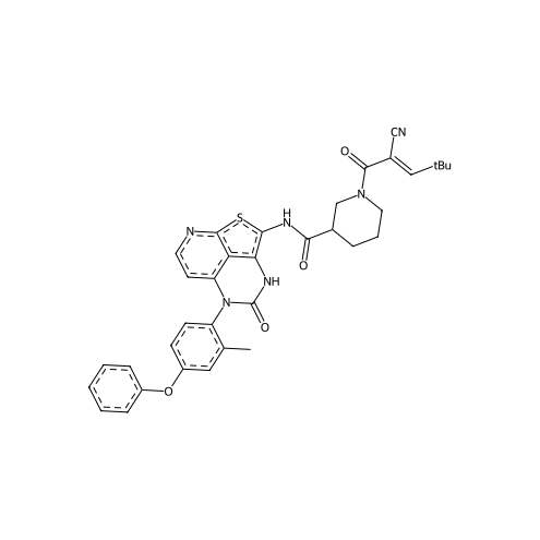 Cc1cc(Oc2ccccc2)ccc1N1C(=O)Nc2c(NC(=O)C3CCCN(C(=O)C(C#N)=CC(C)(C)C)C3)sc3nccc1c23